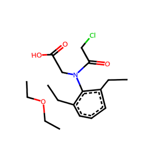 CCOCC.CCc1cccc(CC)c1N(CC(=O)O)C(=O)CCl